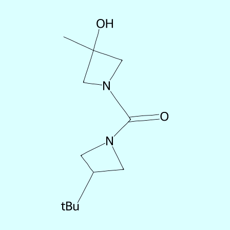 CC1(O)CN(C(=O)N2CC(C(C)(C)C)C2)C1